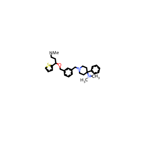 CNCCC(OCc1cccc(CN2CCC(c3ccccc3)(N(C)C)CC2)c1)c1cccs1